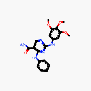 COc1cc(Nc2ncc(C(N)=O)c(Nc3ccccc3)n2)cc(OC)c1OC